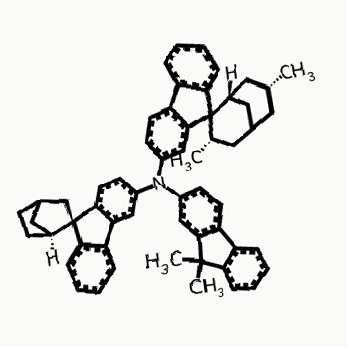 C[C@@H]1CC2C[C@@H](C1)C1(c3ccccc3-c3ccc(N(c4ccc5c(c4)-c4ccccc4[C@@]54CC5CC[C@H]4C5)c4ccc5c(c4)C(C)(C)c4ccccc4-5)cc31)[C@@H](C)C2